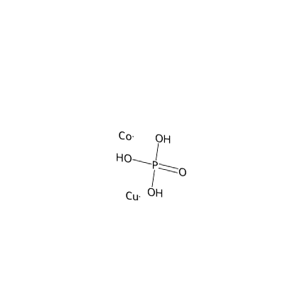 O=P(O)(O)O.[Co].[Cu]